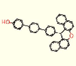 Oc1ccc(-c2ccc(-c3ccc(C4c5c(ccc6ccccc56)Oc5ccc6ccccc6c54)cc3)cc2)cc1